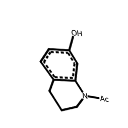 CC(=O)N1CCCc2ccc(O)cc21